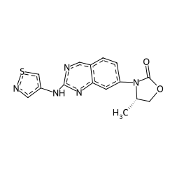 C[C@H]1COC(=O)N1c1ccc2cnc(Nc3cnsc3)nc2c1